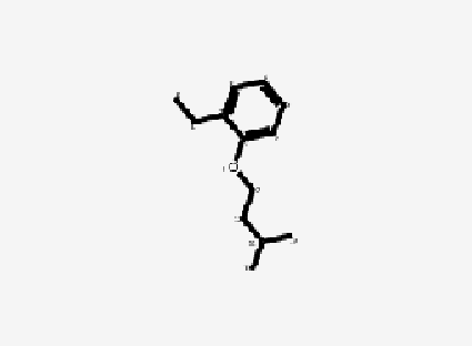 CCc1ccccc1OCCC(C)C